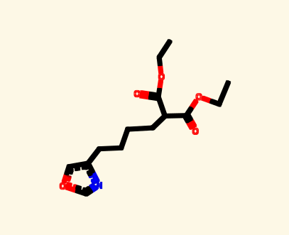 CCOC(=O)C(CCCCc1cocn1)C(=O)OCC